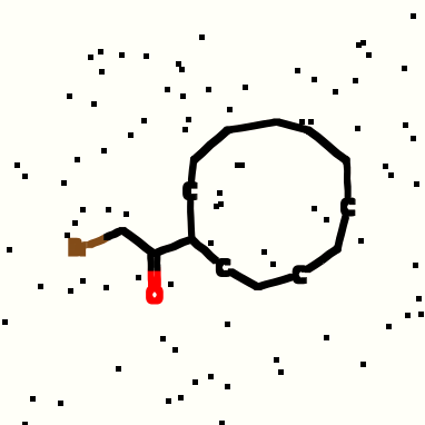 O=C(CBr)C1CCCCCCCCCCC1